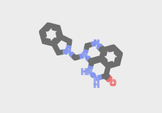 O=C1NNC2=c3c1cccc3=NCN2CN1Cc2ccccc2C1